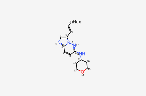 CCCCCC/C=C/c1cnc2ccc(NC3CCOCC3)nn12